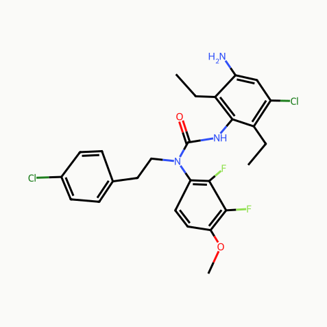 CCc1c(N)cc(Cl)c(CC)c1NC(=O)N(CCc1ccc(Cl)cc1)c1ccc(OC)c(F)c1F